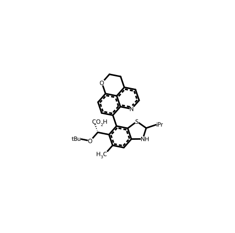 Cc1cc2c(c(-c3ccc4c5c(ccnc35)CCO4)c1[C@H](OC(C)(C)C)C(=O)O)SC(C(C)C)N2